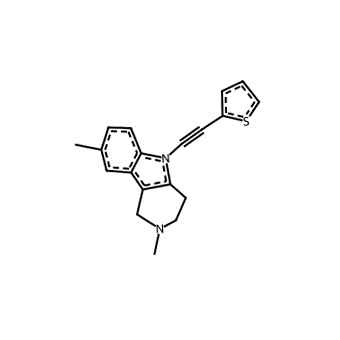 Cc1ccc2c(c1)c1c(n2C#Cc2cccs2)CCN(C)C1